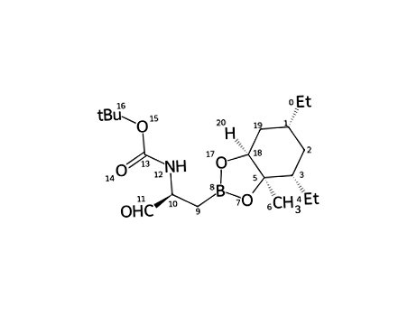 CC[C@@H]1C[C@H](CC)[C@@]2(C)OB(C[C@@H](C=O)NC(=O)OC(C)(C)C)O[C@H]2C1